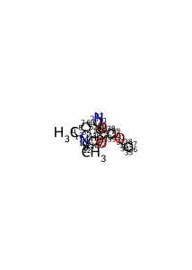 CCC(c1ccccc1)n1cc(C)c2ccc(C3(Cc4ccncc4)C(=O)c4ccc(OCc5ccccc5)cc4C3=O)cc21